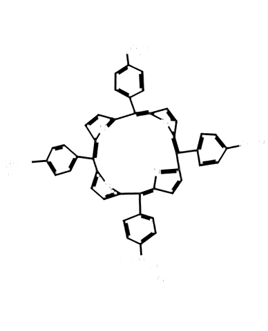 O=C(O)c1ccc(-c2c3nc(c(-c4ccc(C(=O)O)cc4)c4ccc([nH]4)c(-c4ccc(C(=O)O)cc4)c4nc(c(-c5ccc(C(=O)O)cc5)c5ccc2[nH]5)C=C4)C=C3)cc1.[Cl-].[Cl-].[Cl-].[Fe+3]